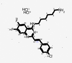 Cl.Cl.NCCCCCCNc1nc(/C=C/c2ccc(Cl)cc2)nc2cc(F)c(F)cc12